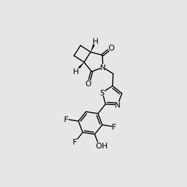 O=C1[C@H]2CC[C@H]2C(=O)N1Cc1cnc(-c2cc(F)c(F)c(O)c2F)s1